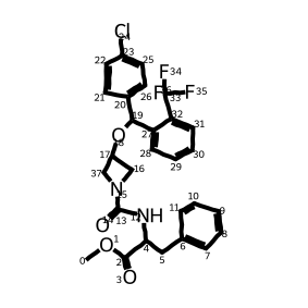 COC(=O)C(Cc1ccccc1)NC(=O)N1CC(OC(c2ccc(Cl)cc2)c2ccccc2C(F)(F)F)C1